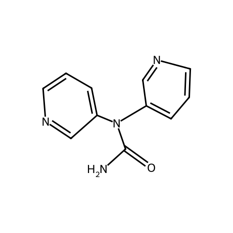 NC(=O)N(c1cccnc1)c1cccnc1